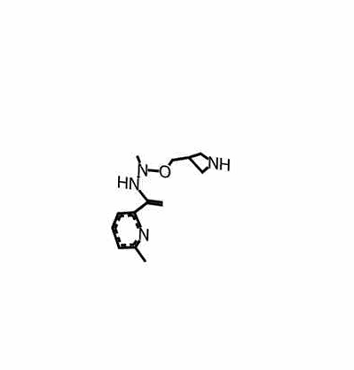 C=C(NN(C)OCC1CNC1)c1cccc(C)n1